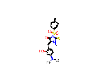 CCN(CC)c1ccc(C=C2C(=O)N(S(=O)(=O)c3ccc(C)cc3)C(=S)N2C)c(O)c1